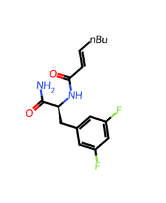 CCCC/C=C/C(=O)N[C@@H](Cc1cc(F)cc(F)c1)C(N)=O